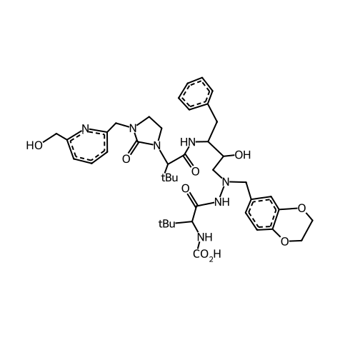 CC(C)(C)C(NC(=O)O)C(=O)NN(Cc1ccc2c(c1)OCCO2)CC(O)C(Cc1ccccc1)NC(=O)C(N1CCN(Cc2cccc(CO)n2)C1=O)C(C)(C)C